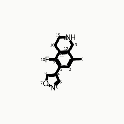 Cc1cc(-c2cnoc2)c(F)c2c1CNCC2